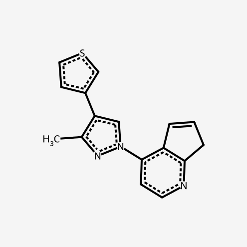 Cc1nn(-c2ccnc3c2C=CC3)cc1-c1ccsc1